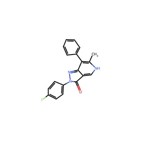 Cc1[nH]cc2c(=O)n(-c3ccc(F)cc3)nc-2c1-c1ccccc1